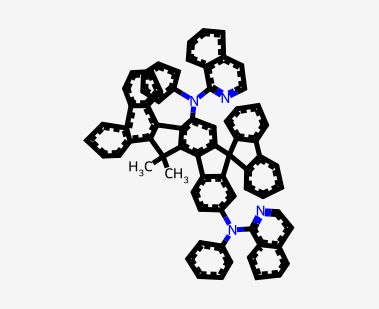 CC1(C)c2c(c(N(c3ccccc3)c3nccc4ccccc34)cc3c2-c2ccc(N(c4ccccc4)c4nccc5ccccc45)cc2C32c3ccccc3-c3ccccc32)-c2c1c1ccccc1c1ccccc21